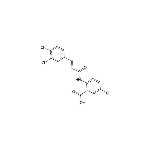 O=C(/C=C/c1ccc(Cl)c(Cl)c1)Nc1ccc(Cl)cc1C(=O)O